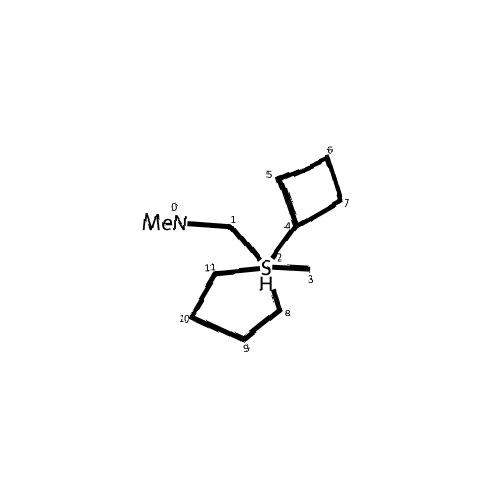 CNC[SH]1(C)(C2CCC2)CCCC1